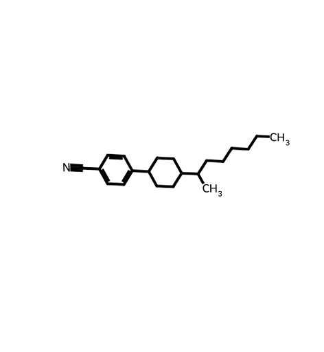 CCCCCCC(C)C1CCC(c2ccc(C#N)cc2)CC1